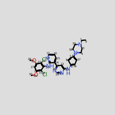 CCN1CCN(c2ccc(Nc3cc(-c4cccnc4Nc4c(Cl)c(OC)cc(OC)c4Cl)ncn3)cc2)CC1